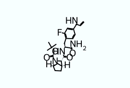 C=CC(=N)c1ccc(C[C@H](NC(=O)[C@@H]2[C@H]3CC[C@H](C3)N2C(=O)OC(C)(C)C)C(N)=O)c(F)c1